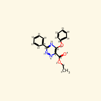 CCOC(=O)c1nnc(-c2ccccc2)nc1Oc1ccccc1